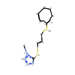 Cn1nnnc1SCCCSC1CCCCCC1